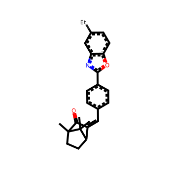 CCc1ccc2oc(-c3ccc(C=C4C(=O)C5(C)CCC4C5(C)C)cc3)nc2c1